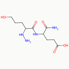 NNC(CCCO)C(=O)NC(CCC(=O)O)C(N)=O